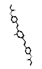 C=CC(=O)Oc1ccc(/C=C/c2ccc(/C=C/c3ccc(OC(=O)C=C)cc3)c(C)c2)cc1